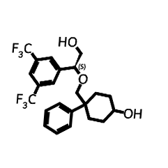 OC[C@@H](OCC1(c2ccccc2)CCC(O)CC1)c1cc(C(F)(F)F)cc(C(F)(F)F)c1